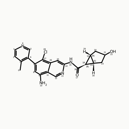 Cc1ccncc1-c1cc(N)c2cnc(NC(=O)[C@H]3[C@@H]4CC(O)C[C@@H]43)cc2c1Cl